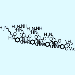 COc1ccc(NC(=O)[C@@H](CCCN)NC(=O)c2cc(NC(=O)[C@@H](CCCNC(=N)N)NC(=O)c3cc(NC(=O)[C@@H](CCCNC(=N)N)NC(=O)c4cc(NC(=O)CCCCN)ccc4OC)ccc3OC)ccc2OC)cc1C(N)=O